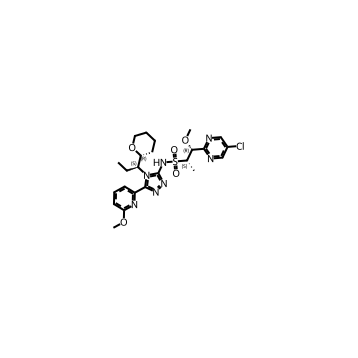 CC[C@@H]([C@H]1CCCCO1)n1c(NS(=O)(=O)[C@@H](C)[C@H](OC)c2ncc(Cl)cn2)nnc1-c1cccc(OC)n1